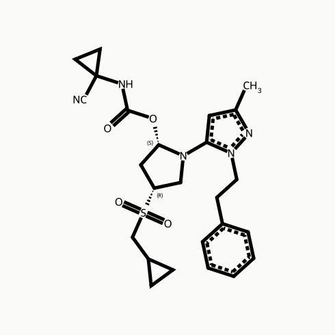 Cc1cc(N2C[C@H](S(=O)(=O)CC3CC3)C[C@@H]2OC(=O)NC2(C#N)CC2)n(CCc2ccccc2)n1